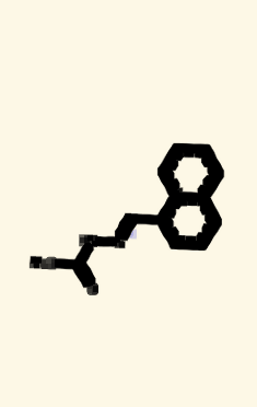 COC(=O)N/N=C/c1cccc2ccccc12